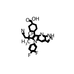 CC(C)(CC#N)c1c(C2CCC(C(=O)O)CC2)c2nc3[nH]ncc3cc2n1-c1ccc(F)c(F)c1